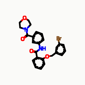 O=C(Nc1cccc(C(=O)N2CCOCC2)c1)c1ccccc1OCc1cccc(Br)c1